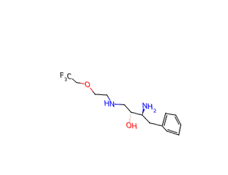 N[C@@H](Cc1ccccc1)[C@H](O)CNCCOCC(F)(F)F